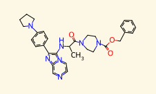 CC(Nc1c(-c2ccc(N3CCCC3)cc2)nc2cnccn12)C(=O)N1CCN(C(=O)OCc2ccccc2)CC1